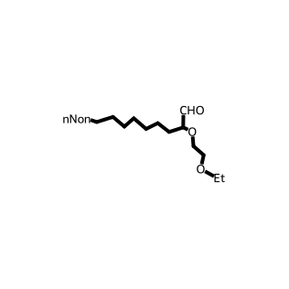 [CH2]COCCOC(C=O)CCCCCCCCCCCCCCCC